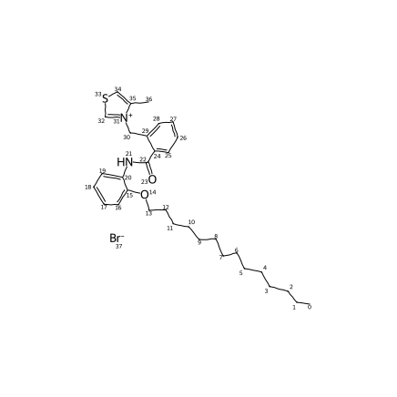 CCCCCCCCCCCCCCOc1ccccc1NC(=O)c1ccccc1C[n+]1cscc1C.[Br-]